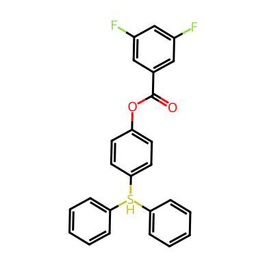 O=C(Oc1ccc([SH](c2ccccc2)c2ccccc2)cc1)c1cc(F)cc(F)c1